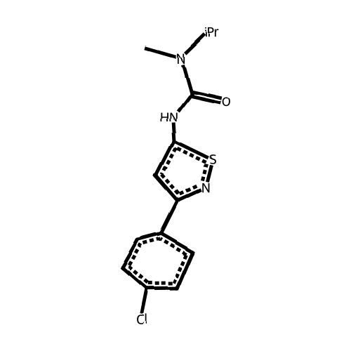 CC(C)N(C)C(=O)Nc1cc(-c2ccc(Cl)cc2)ns1